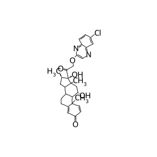 C[C@@H]1CC2C3CCC4=CC(=O)C=CC4(C)C3[C@@H](O)CC2(C)[C@@]1(O)C(=O)COc1cnc2cc(Cl)ccc2n1